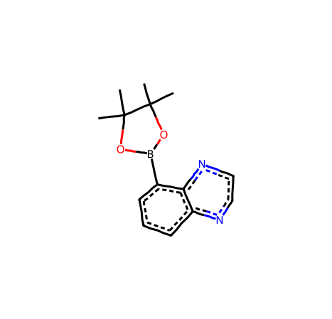 CC1(C)OB(c2cccc3nccnc23)OC1(C)C